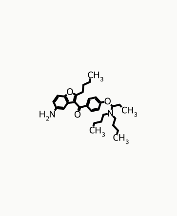 CCCCc1oc2ccc(N)cc2c1C(=O)c1ccc(OC(CC)N(CCCC)CCCC)cc1